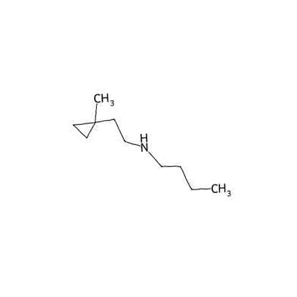 CCCCNCCC1(C)CC1